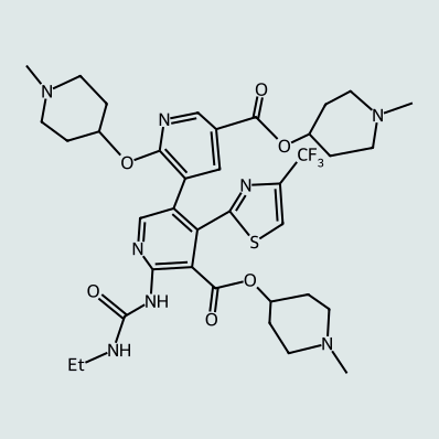 CCNC(=O)Nc1ncc(-c2cc(C(=O)OC3CCN(C)CC3)cnc2OC2CCN(C)CC2)c(-c2nc(C(F)(F)F)cs2)c1C(=O)OC1CCN(C)CC1